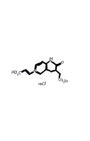 CCOC(=O)CC1CC2=C(C=CN(/C=C/C(=O)O)C2)NC1=O.Cl